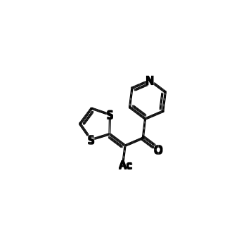 CC(=O)C(C(=O)c1ccncc1)=C1SC=CS1